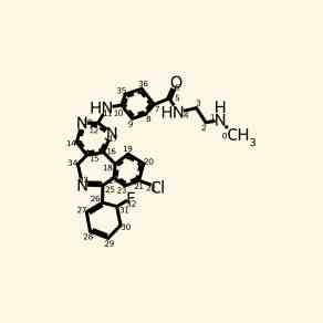 CNCCNC(=O)c1ccc(Nc2ncc3c(n2)-c2ccc(Cl)cc2C(C2=CC=CCC2F)=NC3)cc1